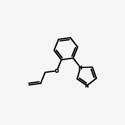 C=CCOc1ccccc1-n1ccnc1